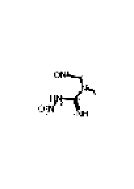 CN(CN=O)C(=N)N[N+](=O)[O-]